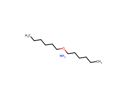 CCCCCCOCCCCCC.N